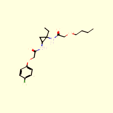 CCCCOCC(=O)NC1(CC)CC1NC(=O)COc1ccc(Cl)cc1